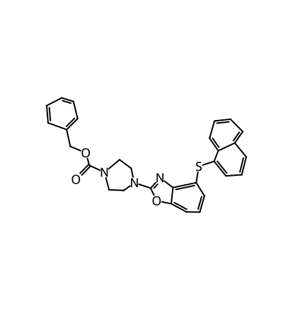 O=C(OCc1ccccc1)N1CCN(c2nc3c(Sc4cccc5ccccc45)cccc3o2)CC1